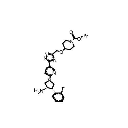 CC(C)OC(=O)N1CCC(OCc2nc(-c3ccc(N4C[C@H](c5ccccc5F)[C@@H](N)C4)nc3)no2)CC1